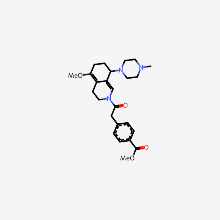 COC(=O)c1ccc(CC(=O)N2C=C3C(=C(OC)CCC3N3CCN(C)CC3)CC2)cc1